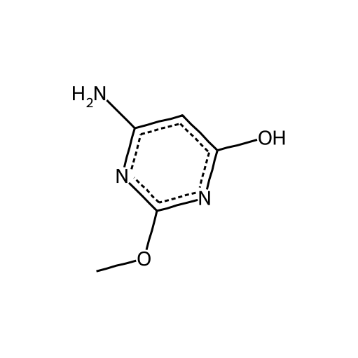 COc1nc(N)cc(O)n1